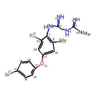 CNC(=N)NC(=N)Nc1c(Br)cc(Oc2ccc(Br)cc2)cc1Br